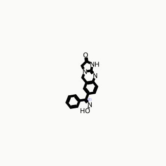 O=C1CN2Cc3cc(/C(=N/O)c4ccccc4)ccc3N=C2N1